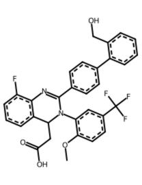 COc1ccc(C(F)(F)F)cc1N1C(c2ccc(-c3ccccc3CO)cc2)=Nc2c(F)cccc2C1CC(=O)O